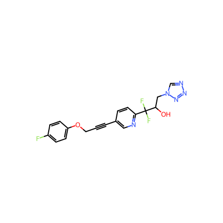 OC(Cn1cnnn1)C(F)(F)c1ccc(C#CCOc2ccc(F)cc2)cn1